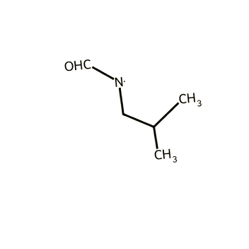 CC(C)C[N]C=O